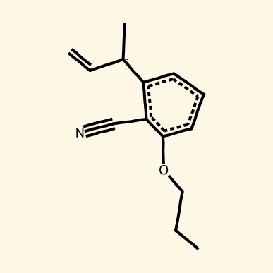 C=C[C](C)c1cccc(OCCC)c1C#N